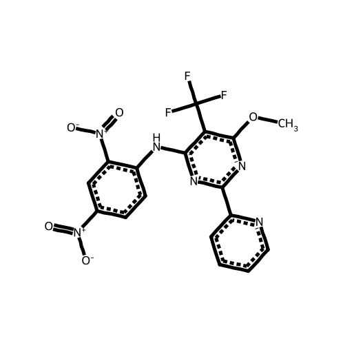 COc1nc(-c2ccccn2)nc(Nc2ccc([N+](=O)[O-])cc2[N+](=O)[O-])c1C(F)(F)F